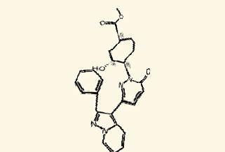 COC(=O)[C@H]1CC[C@@H](n2nc(-c3c(-c4ccccc4)nn4ccccc34)ccc2=O)[C@H](O)C1